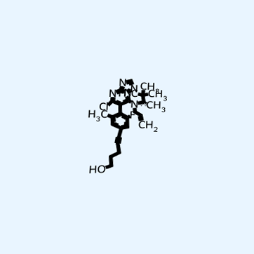 C=CCN(c1c(-c2c(C)cc(C#CCCCO)cc2F)c(Cl)nc2ncnn12)[C@H](C)C(C)(C)C